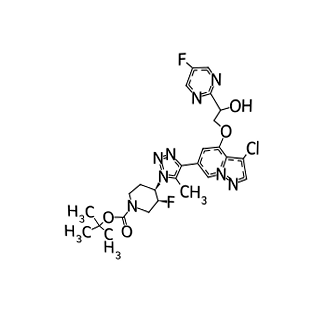 Cc1c(-c2cc(OCC(O)c3ncc(F)cn3)c3c(Cl)cnn3c2)nnn1[C@@H]1CCN(C(=O)OC(C)(C)C)C[C@@H]1F